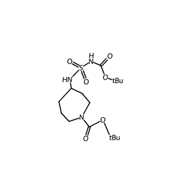 CC(C)(C)OC(=O)NS(=O)(=O)NC1CCCN(C(=O)OC(C)(C)C)CC1